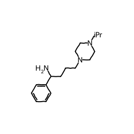 CC(C)N1CCN(CCCC(N)c2ccccc2)CC1